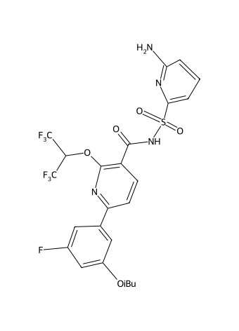 CC(C)COc1cc(F)cc(-c2ccc(C(=O)NS(=O)(=O)c3cccc(N)n3)c(OC(C(F)(F)F)C(F)(F)F)n2)c1